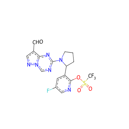 O=Cc1cnn2cnc(N3CCCC3c3cc(F)cnc3OS(=O)(=O)C(F)(F)F)nc12